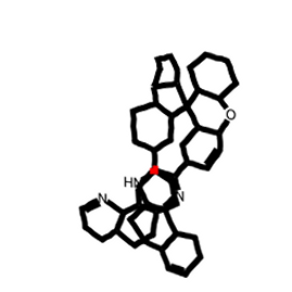 C1=CC2CCC3CCC(C4C=CC5OC6CCCCC6C6(C5C4)C4CCCCC4C4CCC(C5CCC7CCC8CCC=NC8C7N5)CC46)N=C3C2CC1